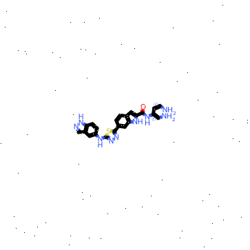 N/C=C\C(=C/N)NC(=O)c1cc2ccc(-c3nnc(Nc4ccc5[nH]ncc5c4)s3)cc2[nH]1